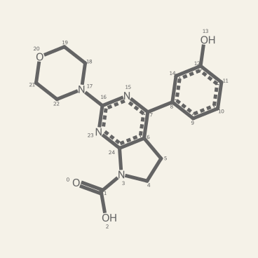 O=C(O)N1CCc2c(-c3cccc(O)c3)nc(N3CCOCC3)nc21